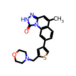 Cc1cc2n[nH]c(=O)n2c2cc(-c3csc(CN4CCOCC4)c3)ccc12